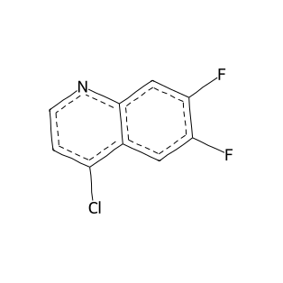 Fc1cc2nccc(Cl)c2cc1F